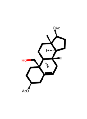 CC(=O)O[C@H]1CC[C@@]2(CO)C(=CC[C@@H]3[C@@H]2CC[C@]2(C)[C@@H](OC(C)=O)CC[C@@H]32)C1